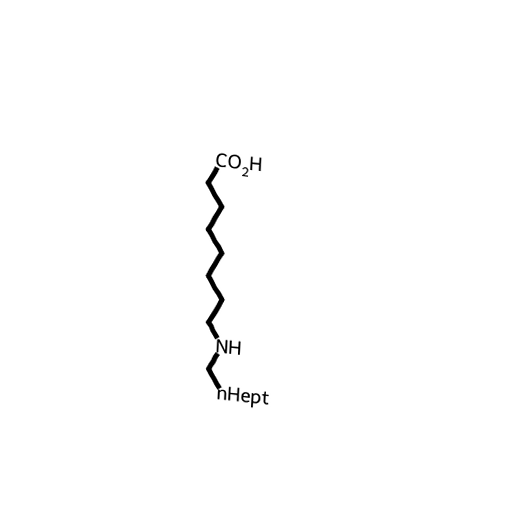 CCCCCCCCNCCCCCCCC(=O)O